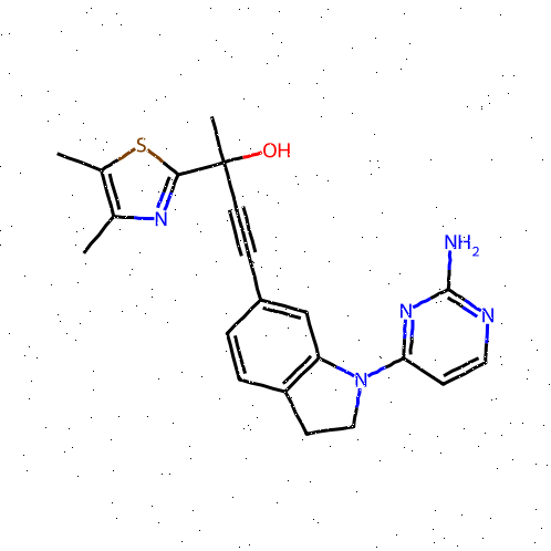 Cc1nc(C(C)(O)C#Cc2ccc3c(c2)N(c2ccnc(N)n2)CC3)sc1C